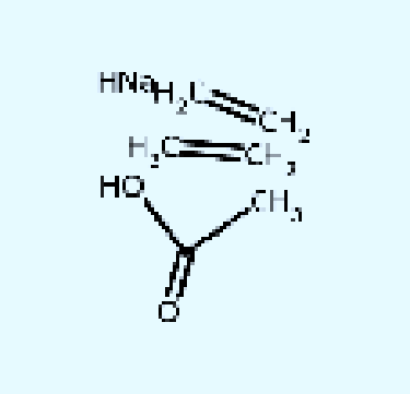 C=C.C=C.CC(=O)O.[NaH]